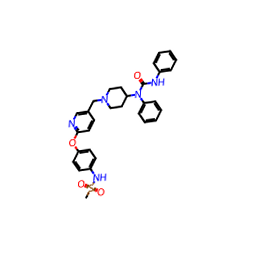 CS(=O)(=O)Nc1ccc(Oc2ccc(CN3CCC(N(C(=O)Nc4ccccc4)c4ccccc4)CC3)cn2)cc1